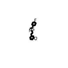 COc1cccc(/C=C/c2ncc(-c3ccc(F)cc3)s2)c1